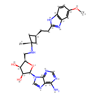 CC(C)[C@]1(NC[C@H]2O[C@@H](n3cnc4c(N)ncnc43)[C@@H](O)[C@H]2O)C[C@H](CCc2nc3cc(OC(F)(F)F)ccc3[nH]2)C1